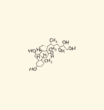 C[C@H](CCC(O)C(O)CO)[C@H]1CC[C@H]2[C@@H]3C(O)CC4CC(O)CC[C@]4(C)[C@H]3CC(O)[C@]12C